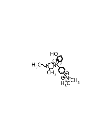 CCCN1CC(C)N(C(c2ccc(S(=O)(=O)N(CC)CC)cc2)c2cccc(O)c2)CC1C